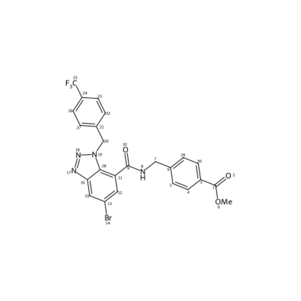 COC(=O)c1ccc(CNC(=O)c2cc(Br)cc3nnn(Cc4ccc(C(F)(F)F)cc4)c23)cc1